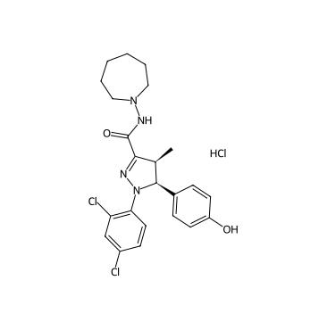 C[C@@H]1C(C(=O)NN2CCCCCC2)=NN(c2ccc(Cl)cc2Cl)[C@@H]1c1ccc(O)cc1.Cl